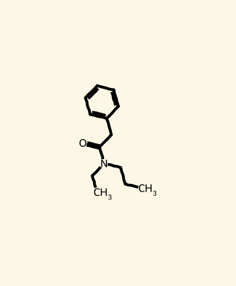 CCCN(CC)C(=O)Cc1ccccc1